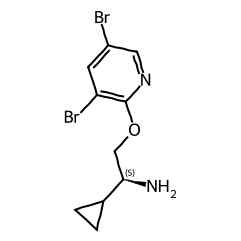 N[C@H](COc1ncc(Br)cc1Br)C1CC1